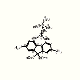 CCCCCCCCCCC1(CCCCCCCCCC)c2cc([SiH3])ccc2-c2ccc([SiH3])cc21.CCC[CH2][SnH]([CH2]CCC)[CH2]CCC.CCC[CH2][SnH]([CH2]CCC)[CH2]CCC